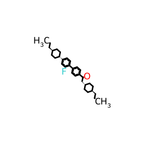 CCC[C@H]1CC[C@H](CC(=O)c2ccc(-c3ccc([C@H]4CC[C@H](CCC)CC4)cc3F)cc2)CC1